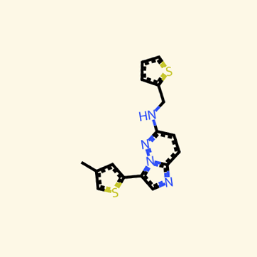 Cc1csc(-c2cnc3ccc(NCc4cccs4)nn23)c1